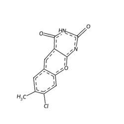 Cc1cc2cc3c(=O)[nH]c(=O)nc-3oc2cc1Cl